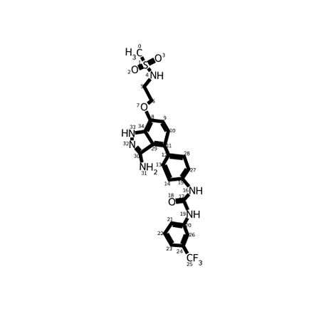 CS(=O)(=O)NCCOc1ccc(-c2ccc(NC(=O)Nc3cccc(C(F)(F)F)c3)cc2)c2c(N)n[nH]c12